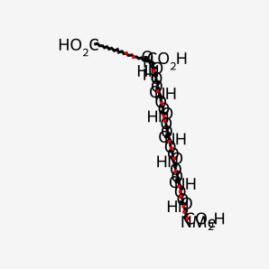 CN[C@@H](CCCCNC(=O)COCCOCCNC(=O)COCCOCCNC(=O)COCCOCCNC(=O)COCCOCCNC(=O)COCCOCCNC(=O)COCCOCCNC(=O)CC[C@H](NC(=O)CCCCCCCCCCCCCCCCCCCCC(=O)O)C(=O)O)C(=O)O